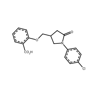 O=C(O)c1ccccc1OCC1CC(=O)N(c2ccc(Cl)cc2)C1